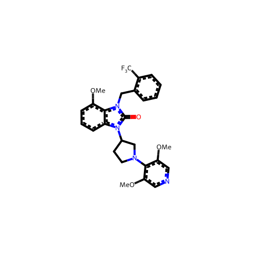 COc1cncc(OC)c1N1CCC(n2c(=O)n(Cc3ccccc3C(F)(F)F)c3c(OC)cccc32)C1